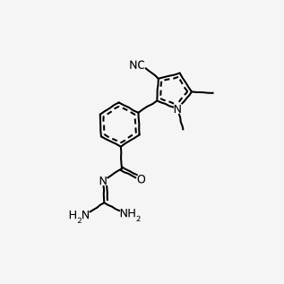 Cc1cc(C#N)c(-c2cccc(C(=O)N=C(N)N)c2)n1C